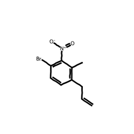 C=CCc1ccc(Br)c([N+](=O)[O-])c1C